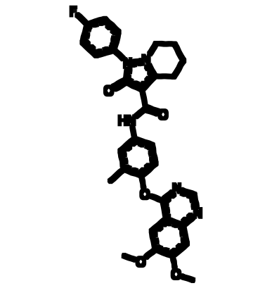 COc1cc2ncnc(Oc3ccc(NC(=O)c4c5n(n(-c6ccc(F)cc6)c4=O)CCCC5)cc3C)c2cc1OC